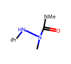 CNC(=O)N(C)NC(C)C